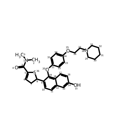 CN(C)C(=O)C1=CCC(c2ccc3cc(O)ccc3c2Oc2ccc(OCCN3CCCCC3)cc2)S1